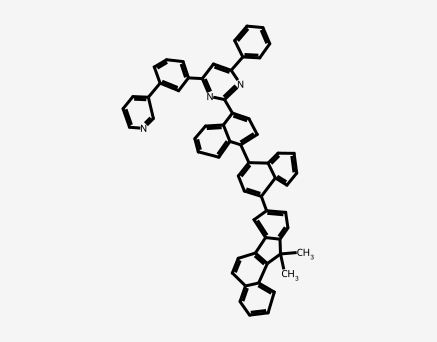 CC1(C)c2ccc(-c3ccc(-c4ccc(-c5nc(-c6ccccc6)cc(-c6cccc(-c7cccnc7)c6)n5)c5ccccc45)c4ccccc34)cc2-c2ccc3ccccc3c21